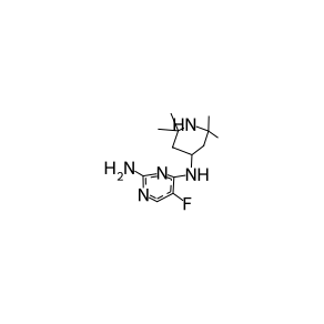 CC1(C)CC(Nc2nc(N)ncc2F)CC(C)(C)N1